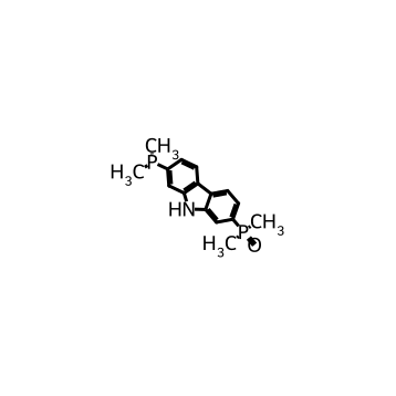 CP(C)c1ccc2c(c1)[nH]c1cc(P(C)(C)=O)ccc12